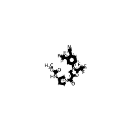 COC(=O)N[C@@H]1CCN(C(=O)C2CN(c3ccc(C#N)c(C(F)(F)F)c3)C(C(F)(F)F)O2)C1